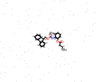 CC(C)c1cccc(OC(=O)CCC(C)(C)C)c1NC(=O)OCC1c2ccccc2-c2ccccc21